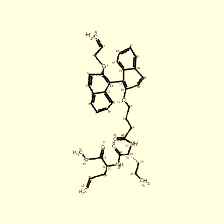 C=CCOc1ccc2ccccc2c1-c1c(OCCCC(=O)N[C@H](CCC)C(=O)N[C@@H](CC=C)C(=O)OC)ccc2ccccc12